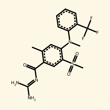 Cc1cc(N(C)c2ccccc2C(F)(F)F)c(S(C)(=O)=O)cc1C(=O)N=C(N)N